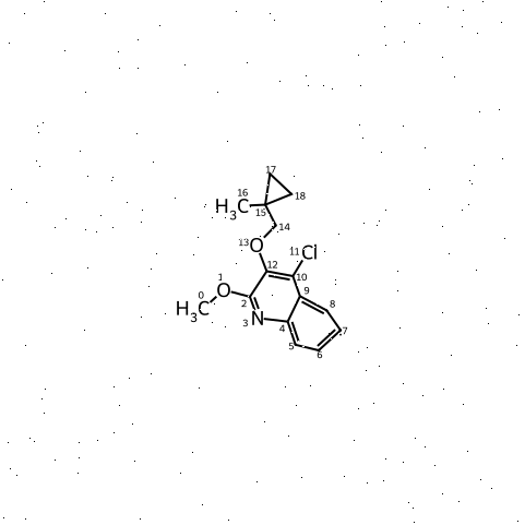 COc1nc2cc[c]cc2c(Cl)c1OCC1(C)CC1